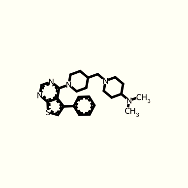 CN(C)C1CCN(CC2CCN(c3ncnc4scc(-c5ccccc5)c34)CC2)CC1